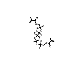 C=C(C)C(=O)OCC(F)(F)OC(F)(F)OC(F)(F)C(F)(F)OC(F)(F)COC(=O)C(=C)C